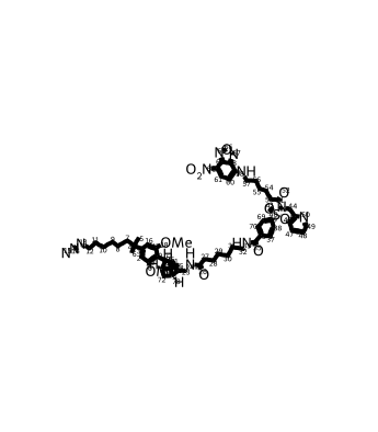 COc1cc(C(C)(C)CCCCCCN=[N+]=[N-])cc(OC)c1[C@H]1C=C(CNC(=O)CCCCCCNC(=O)c2ccc(S(=O)(=O)N(Cc3ccccn3)C(=O)CCCCCNc3ccc([N+](=O)[O-])c4nonc34)cc2)[C@H]2C[C@@H]1C2(C)C